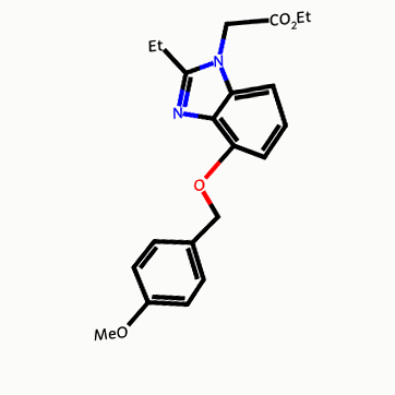 CCOC(=O)Cn1c(CC)nc2c(OCc3ccc(OC)cc3)cccc21